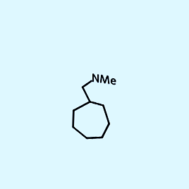 CNCC1CCCCCC1